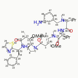 CC[C@H](C)C([C@@H](CC(=O)N1CCC[C@H]1[C@H](OC)[C@@H](C)C(=O)N[C@@H](Cc1ccccc1)c1nccs1)OC)N(C)C(=O)[C@@H](NC(=O)C(C(C)C)N(C)Cc1cccc(N)c1)C(C)C